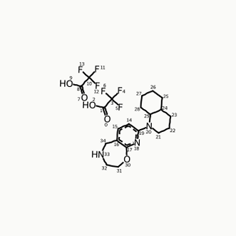 O=C(O)C(F)(F)F.O=C(O)C(F)(F)F.c1cc2c(nc1N1CCCC3CCCCC31)OCCNC2